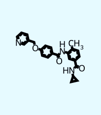 Cc1ccc(C(=O)NC2CC2)cc1NC(=O)c1ccc(OCc2cccnc2)cc1